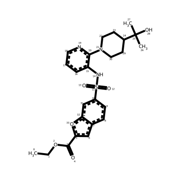 CCOC(=O)c1cc2ccc(S(=O)(=O)Nc3cccnc3N3CCC(C(C)(C)O)CC3)cc2o1